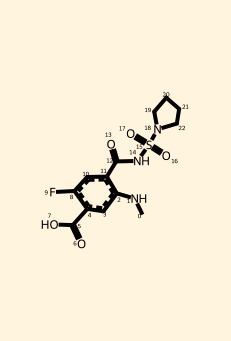 CNc1cc(C(=O)O)c(F)cc1C(=O)NS(=O)(=O)N1CCCC1